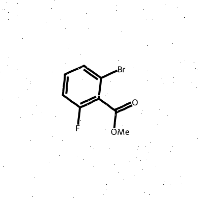 COC(=O)c1c(F)cccc1Br